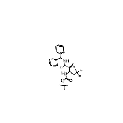 CC(C)(C)OC(=O)NC(CC(F)(F)F)C(=O)C(=O)NC(c1ccccc1)c1ccccc1